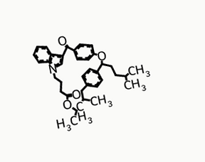 CCOC(=O)CCCn1cc(C(=O)c2ccc(OC(CCC(C)C)c3ccc(CC(C)C)cc3)cc2)c2ccccc21